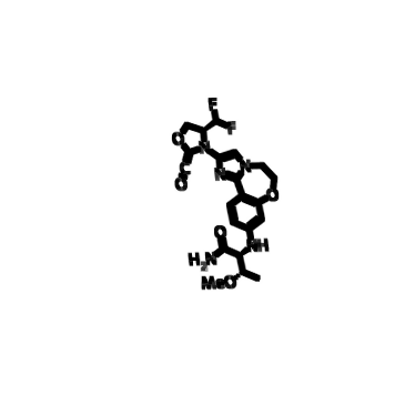 CO[C@@H](C)[C@H](Nc1ccc2c(c1)OCCn1cc(N3C(=C=O)OC[C@H]3C(F)F)nc1-2)C(N)=O